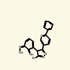 CC(C)C1=NN=C(c2ccc(-c3ccccc3)nc2)C1C1=CC=C/C(=N/O)C1=N